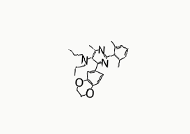 CCCN(CCC)c1c(C)nc(-c2c(C)cccc2C)nc1-c1ccc2c(c1)OCCO2